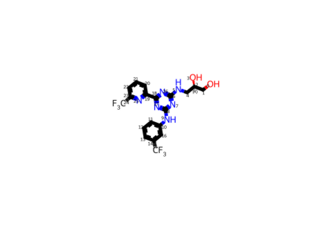 OC[C@H](O)CNc1nc(Nc2cccc(C(F)(F)F)c2)nc(-c2cccc(C(F)(F)F)n2)n1